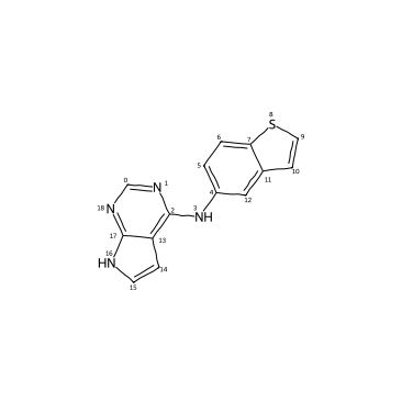 c1nc(Nc2ccc3sccc3c2)c2cc[nH]c2n1